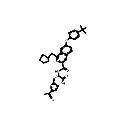 CC(=O)c1ccc(C[C@H](NC(=O)c2cc3ccc(Oc4ccc(C(C)(C)C)cc4)cc3c(CC3CCCC3)n2)C(=O)O)s1